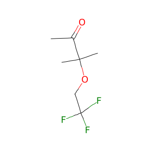 CC(=O)C(C)(C)OCC(F)(F)F